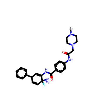 CCN1CCN(CC(=O)Nc2ccc(C(=O)NC3=CC(c4ccccc4)C=CC3(N)F)cc2)CC1